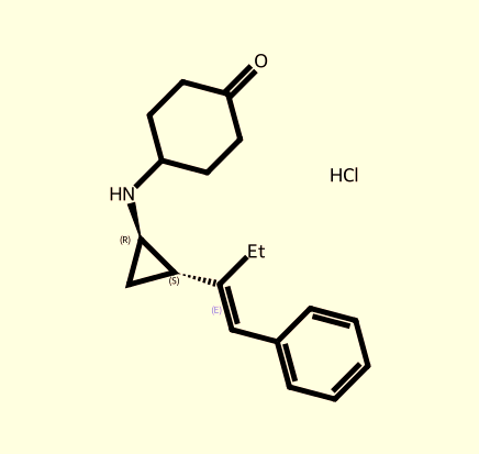 CC/C(=C\c1ccccc1)[C@@H]1C[C@H]1NC1CCC(=O)CC1.Cl